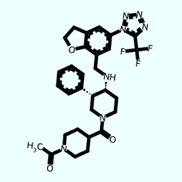 CC(=O)N1CCC(C(=O)N2CC[C@@H](NCc3cc(-n4nnnc4C(F)(F)F)cc4c3OCC4)[C@@H](c3ccccc3)C2)CC1